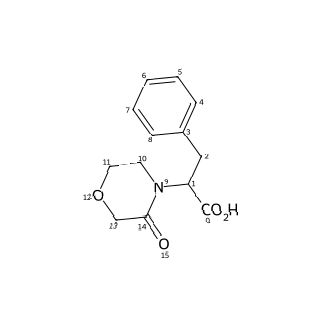 O=C(O)C(Cc1ccccc1)N1CCOCC1=O